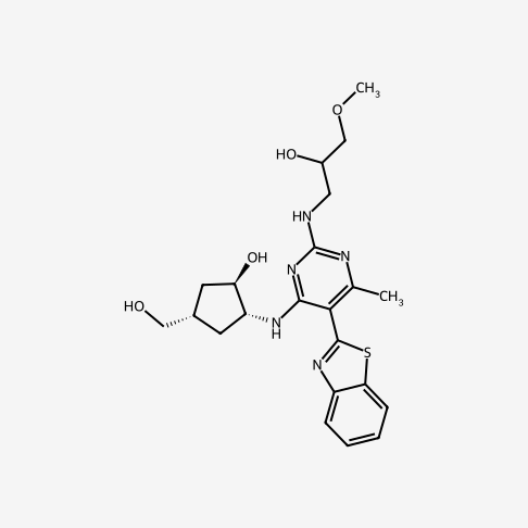 COCC(O)CNc1nc(C)c(-c2nc3ccccc3s2)c(N[C@@H]2C[C@H](CO)C[C@H]2O)n1